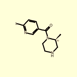 C[C@H]1CNCCN1C(=O)c1ccc(I)nc1